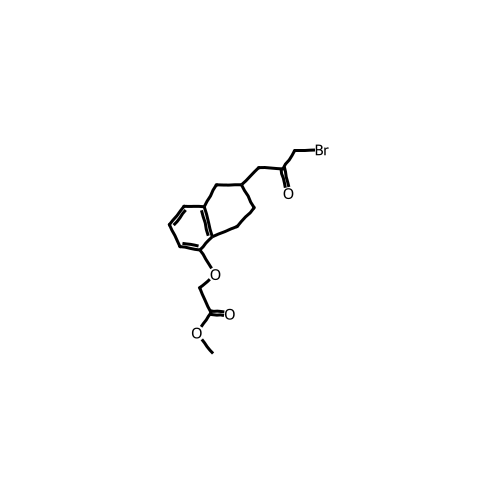 COC(=O)COc1cccc2c1CCC(CC(=O)CBr)C2